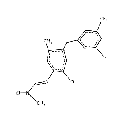 CCN(C)C=Nc1cc(C)c(Cc2cc(F)cc(C(F)(F)F)c2)cc1Cl